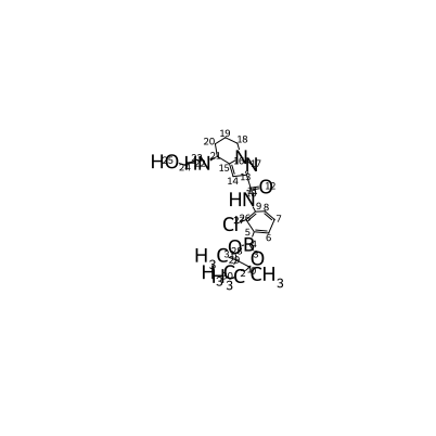 CC1(C)OB(c2cccc(NC(=O)c3cc4n(n3)CCC[C@@H]4NCCO)c2Cl)OC1(C)C